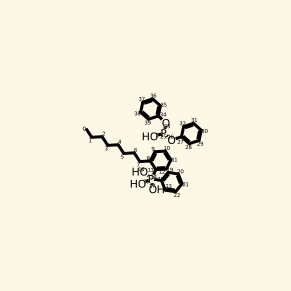 CCCCCCCCc1ccccc1P(O)(O)(O)c1ccccc1.OP(Oc1ccccc1)Oc1ccccc1